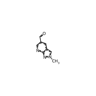 Cn1cc2cc(C=O)cnc2n1